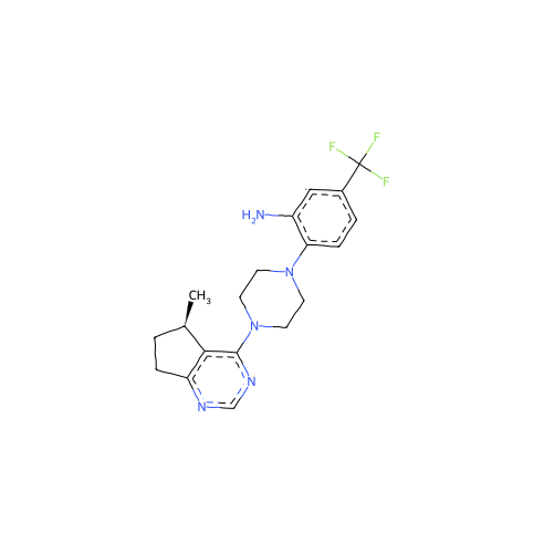 C[C@@H]1CCc2ncnc(N3CCN(c4ccc(C(F)(F)F)[c]c4N)CC3)c21